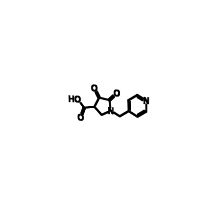 O=C(O)C1CN(Cc2ccncc2)C(=O)C1=O